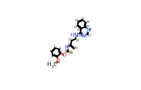 COc1ccccc1Oc1nc(CCNc2ncnc3ccccc23)cs1